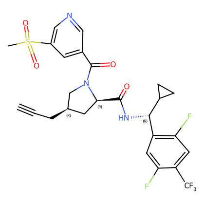 C#CC[C@@H]1C[C@H](C(=O)N[C@@H](c2cc(F)c(C(F)(F)F)cc2F)C2CC2)N(C(=O)c2cncc(S(C)(=O)=O)c2)C1